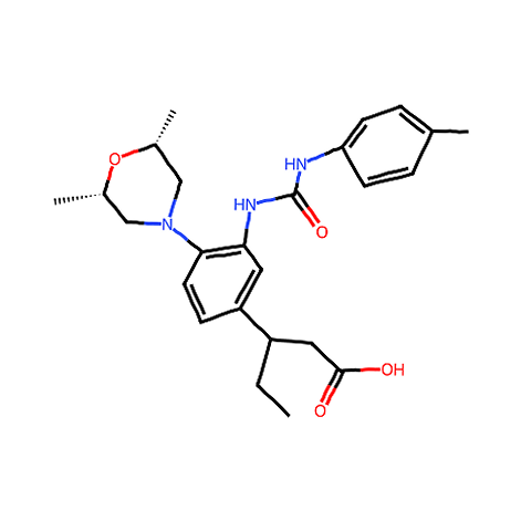 CCC(CC(=O)O)c1ccc(N2C[C@@H](C)O[C@@H](C)C2)c(NC(=O)Nc2ccc(C)cc2)c1